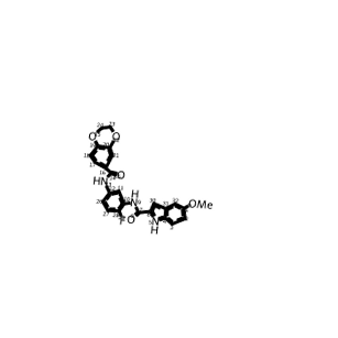 COc1ccc2[nH]c(C(=O)Nc3cc(NC(=O)c4ccc5c(c4)OCCO5)ccc3F)cc2c1